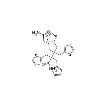 NC(=O)CCCC(Cc1cccs1)(Cc1cccs1)C(Cc1cccs1)(Cc1cccs1)C(N)=O